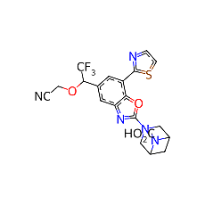 N#CCOC(c1cc(-c2nccs2)c2oc(N3CC4CC(C3)N4C(=O)O)nc2c1)C(F)(F)F